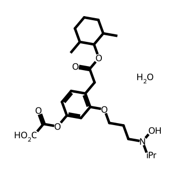 CC1CCCC(C)C1OC(=O)Cc1ccc(OC(=O)C(=O)O)cc1OCCCN(O)C(C)C.O